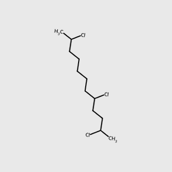 CC(Cl)CCCCCC(Cl)CCC(C)Cl